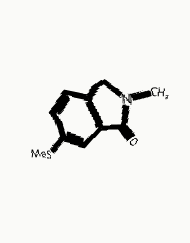 CSc1ccc2c(c1)C(=O)N(C)C2